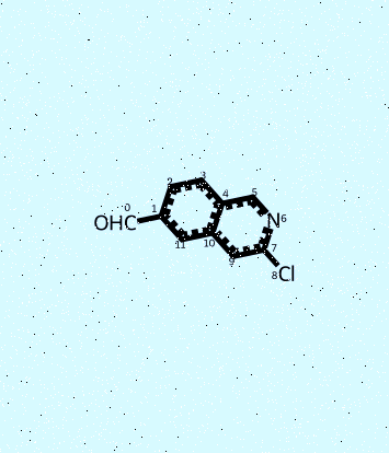 O=Cc1ccc2cnc(Cl)cc2c1